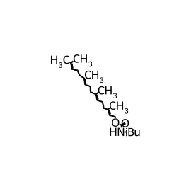 CCC(C)NC(=O)OC/C=C(\C)CC/C=C(\C)CC/C=C(\C)CCC=C(C)C